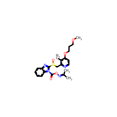 COCCCOc1ccnc(C[S+]([O-])c2nc3ccccc3n2C(=O)ON=C(C)C)c1C